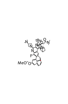 C=Cc1cc2c(nc(N3CC(N(C)C)C3)c3nc(CCC(=O)N(C)C)n(C4C5CC4N(C(=O)OC(C)(C)C)C5)c32)c(F)c1-c1cc(OCOC)cc2ccccc12